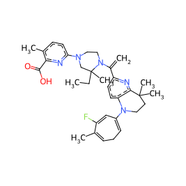 C=C(c1ccc2c(n1)C(C)(C)CCN2C1=CCC=C(C)C(F)=C1)N1CCN(c2ccc(C)c(C(=O)O)n2)CC1(C)CC